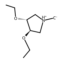 [CH2-][NH+]1C[C@@H](OCC)[C@H](OCC)C1